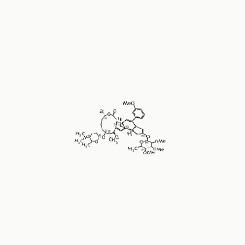 CC[C@H]1CCC[C@H](O[C@H]2CC[C@H](N(C)C)C(C)O2)[C@@H](C)C(=O)C2=C[C@@H]3C(C=C(c4cccc(OC)c4)C4C[C@@H](O[C@@H]5OC(C)[C@H](OC)C(OC)C5OC)C[C@H]43)[C@@H]2CC(=O)O1